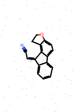 N#C/C=C1/c2ccccc2-c2ccc3c(c21)CCO3